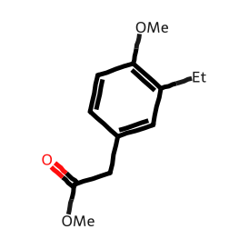 CCc1cc(CC(=O)OC)ccc1OC